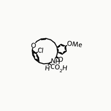 COc1ccc2c(c1)CCC=CCOc1ccc(cc1Cl)C[C@@H](C(=O)O)NC2=O